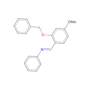 COc1ccc(/C=N/c2ccccc2)c(OCc2ccccc2)c1